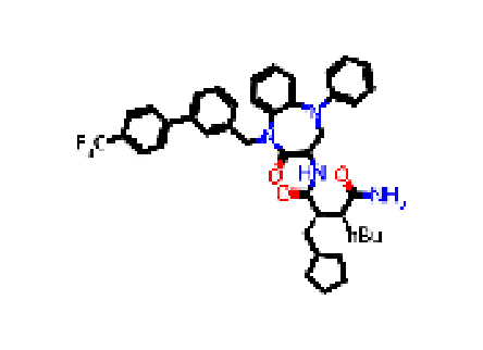 CCCC[C@H](C(N)=O)[C@@H](CC1CCCC1)C(=O)NC1CN(c2ccccc2)c2ccccc2N(Cc2cccc(-c3ccc(C(F)(F)F)cc3)c2)C1=O